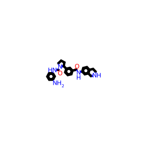 Nc1cccc(NC(=O)N2CCCC2c2cccc(C(=O)Nc3ccc4c(c3)CNCC4)c2)c1